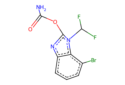 NC(=O)Oc1nc2cccc(Br)c2n1C(F)F